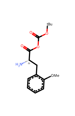 COc1ccccc1C[C@H](N)C(=O)OC(=O)OC(C)(C)C